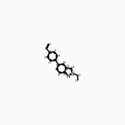 C=Cc1ccc(-c2ccc3nn(CC)cc3c2)cc1